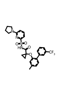 Cc1ccc(-c2cccc(C(F)(F)F)c2)c(OC2(C(=O)NS(=O)(=O)c3cccc(N4CCCC4)n3)CC2)c1